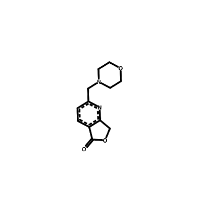 O=C1OCc2nc(CN3CCOCC3)ccc21